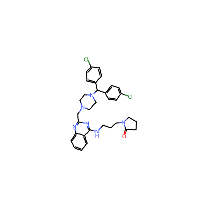 O=C1CCCN1CCCNc1nc(CN2CCN(C(c3ccc(Cl)cc3)c3ccc(Cl)cc3)CC2)nc2ccccc12